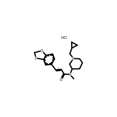 CN(C(=O)/C=C/c1ccc2c(c1)OCO2)C1CCCN(CC2CC2)C1.Cl